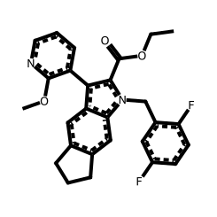 CCOC(=O)c1c(-c2cccnc2OC)c2cc3c(cc2n1Cc1cc(F)ccc1F)CCC3